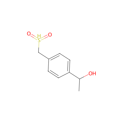 CC(O)c1ccc(C[SH](=O)=O)cc1